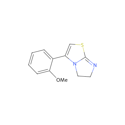 COc1ccccc1C1=CSC2=NCCN12